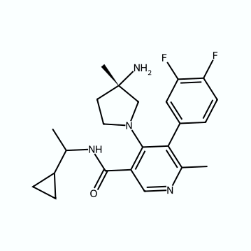 Cc1ncc(C(=O)NC(C)C2CC2)c(N2CC[C@](C)(N)C2)c1-c1ccc(F)c(F)c1